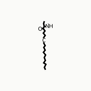 CCCCCCCCCCCCCCCCCC(=O)C(CC)NC